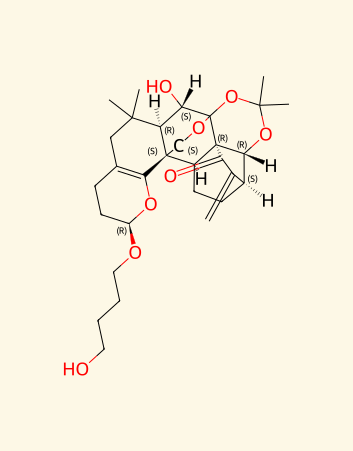 C=C1C(=O)[C@@]23[C@@H]4OC(C)(C)OC25OC[C@]2(C6=C(CC[C@H](OCCCCO)O6)CC(C)(C)[C@H]2[C@@H]5O)[C@@H]3CC[C@@H]14